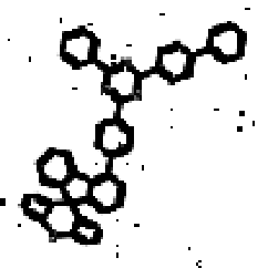 c1ccc(-c2ccc(-c3nc(-c4ccccc4)nc(-c4ccc(-c5cccc6c5-c5ccccc5C65c6ccccc6Sc6ccccc65)cc4)n3)cc2)cc1